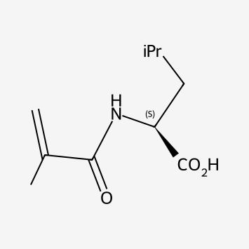 C=C(C)C(=O)N[C@@H](CC(C)C)C(=O)O